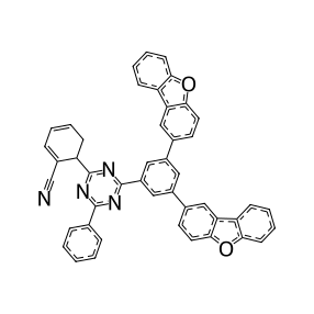 N#CC1=CC=CCC1c1nc(-c2ccccc2)nc(-c2cc(-c3ccc4oc5ccccc5c4c3)cc(-c3ccc4oc5ccccc5c4c3)c2)n1